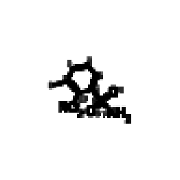 Cc1cccc(S(N)(=O)=O)c1[N+](=O)[O-]